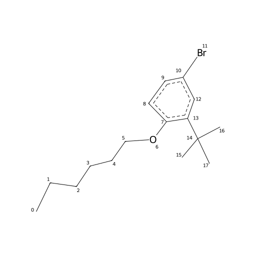 CCCCCCOc1ccc(Br)cc1C(C)(C)C